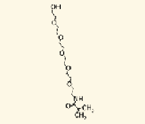 C=C(C)C(=O)NCCOCCOCCOCCOCCOCCO